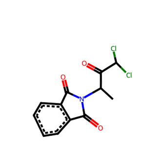 CC(C(=O)C(Cl)Cl)N1C(=O)c2ccccc2C1=O